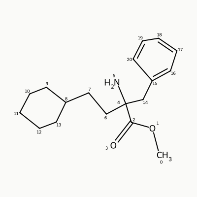 COC(=O)C(N)(CCC1CCCCC1)Cc1ccccc1